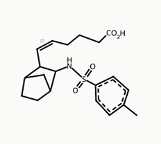 Cc1ccc(S(=O)(=O)NC2C3CCC(C3)C2/C=C\CCCC(=O)O)cc1